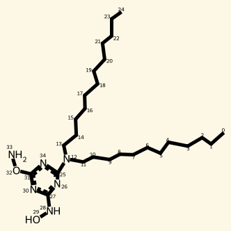 CCCCCCCCCCCCN(CCCCCCCCCCCC)c1nc(NO)nc(ON)n1